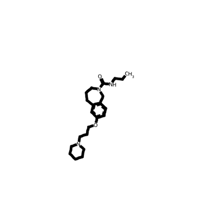 CCCNC(=O)N1CCCc2cc(OCCCN3CCCCC3)ccc2C1